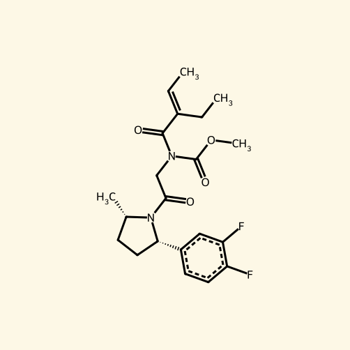 C/C=C(\CC)C(=O)N(CC(=O)N1[C@@H](C)CC[C@H]1c1ccc(F)c(F)c1)C(=O)OC